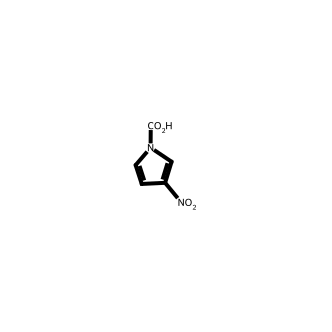 O=C(O)n1ccc([N+](=O)[O-])c1